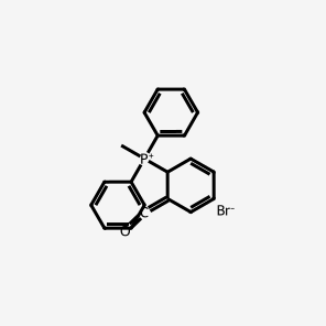 C[P+](c1ccccc1)(c1ccccc1)C1C=CC=CC1=C=O.[Br-]